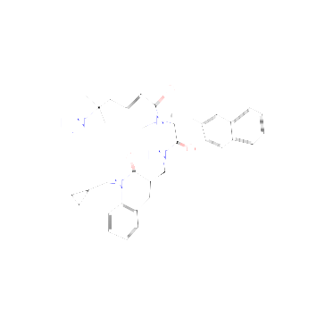 CN(C(=O)/C=C/CC(C)(C)N)[C@H](Cc1ccc2ccccc2c1)C(=O)NC[C@@H](Cc1ccccc1)C(=O)NCC1CC1